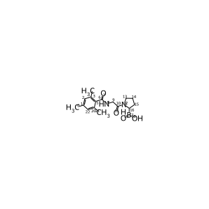 Cc1cc(C)c(C(=O)NCC(=O)N2CCCC2B(O)O)c(C)c1